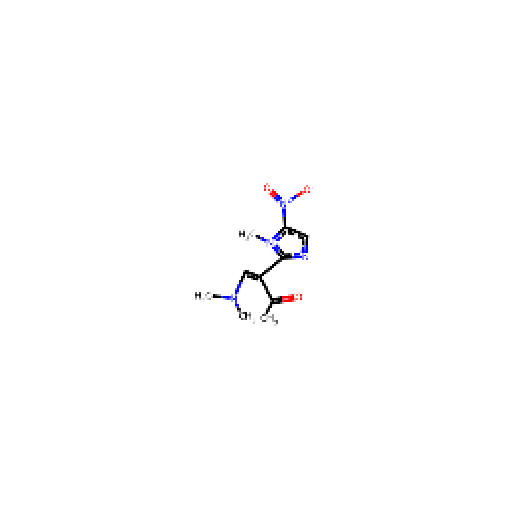 CC(=O)C(=CN(C)C)c1ncc([N+](=O)[O-])n1C